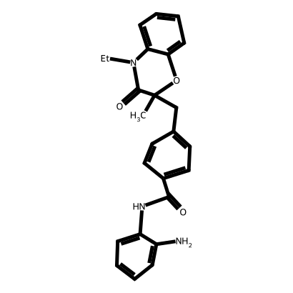 CCN1C(=O)C(C)(Cc2ccc(C(=O)Nc3ccccc3N)cc2)Oc2ccccc21